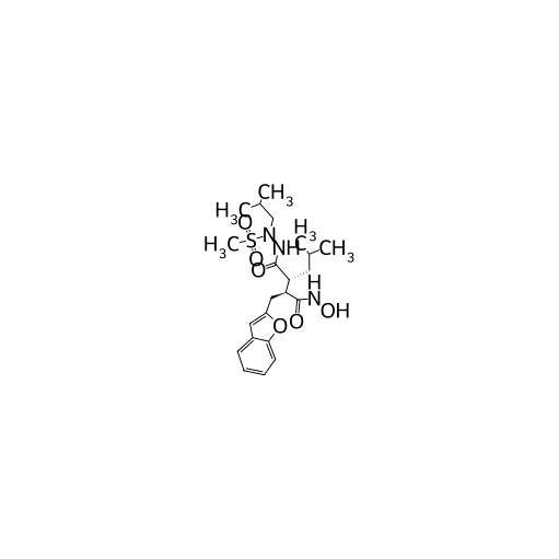 CC(C)C[C@@H](C(=O)NN(CC(C)C)S(C)(=O)=O)[C@H](Cc1cc2ccccc2o1)C(=O)NO